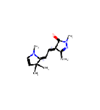 CC(=O)NC1=NN(C)C(=O)/C1=C/C=C1\N(C)C=CC1(C)C